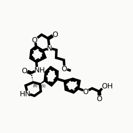 COCCCN1C(=O)COc2ccc(NC(=O)[C@H]3CNCC[C@@H]3c3cccc(-c4ccc(OCC(=O)O)cc4)c3)cc21